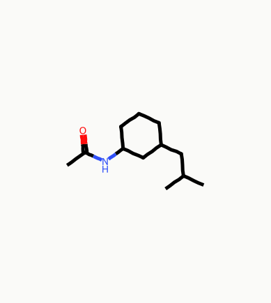 CC(=O)NC1CCCC(CC(C)C)C1